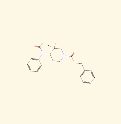 CCC(=O)N(c1ccccc1)[C@H]1CCN(C(=O)OCc2ccccc2)C[C@@]1(C)O